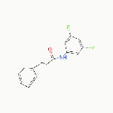 O=C(CCc1ccccc1)Nc1cc(F)cc(F)c1